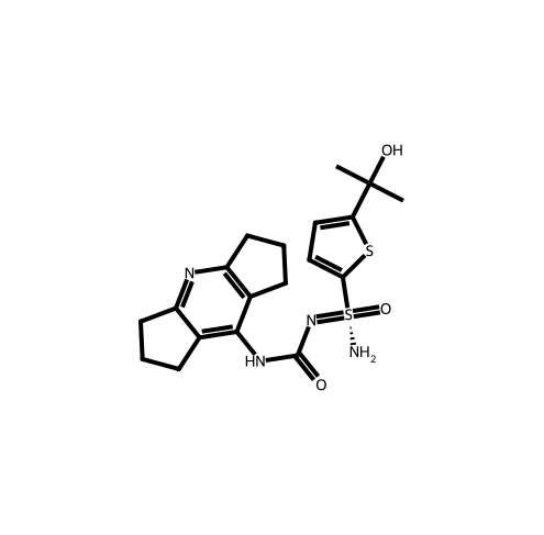 CC(C)(O)c1ccc([S@@](N)(=O)=NC(=O)Nc2c3c(nc4c2CCC4)CCC3)s1